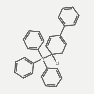 ClC1([Si](c2ccccc2)(c2ccccc2)c2ccccc2)C=CC(c2ccccc2)=CC1